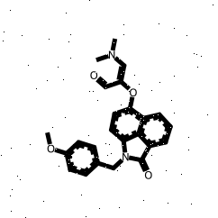 COc1ccc(CN2C(=O)c3cccc4c(OC(C=O)=CN(C)C)ccc2c34)cc1